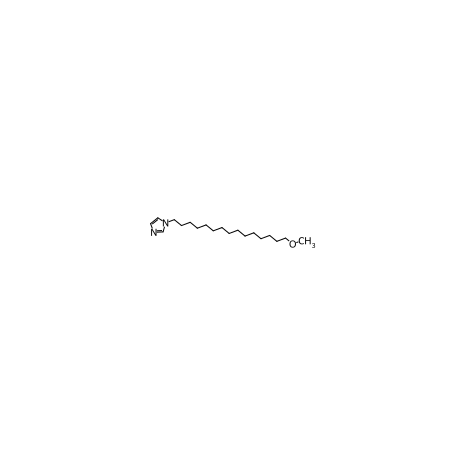 COCCCCCCCCCCCCCCCn1ccnc1